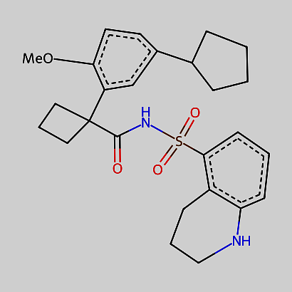 COc1ccc(C2CCCC2)cc1C1(C(=O)NS(=O)(=O)c2cccc3c2CCCN3)CCC1